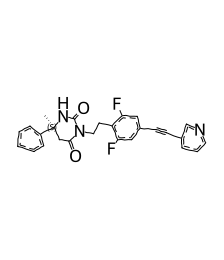 C[C@@]1(c2ccccc2)CC(=O)N(CCc2c(F)cc(C#Cc3cccnc3)cc2F)C(=O)N1